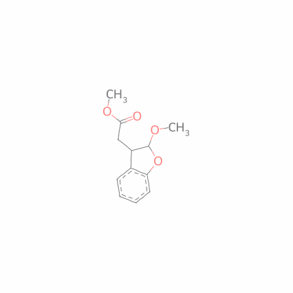 COC(=O)CC1c2ccccc2OC1OC